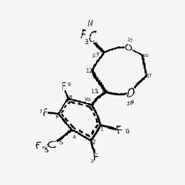 Fc1c(F)c(C(F)(F)F)c(F)c(F)c1C1CC(C(F)(F)F)OCCO1